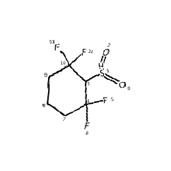 O=[SH](=O)C1C(F)(F)CCCC1(F)F